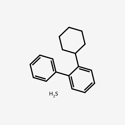 S.c1ccc(-c2ccccc2C2CCCCC2)cc1